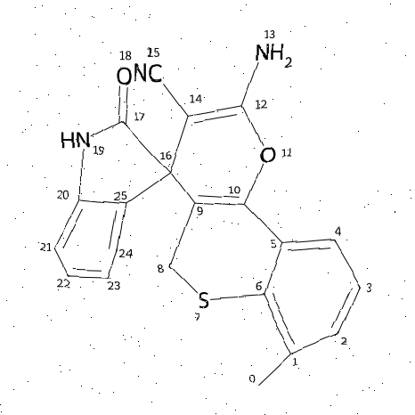 Cc1cccc2c1SCC1=C2OC(N)=C(C#N)C12C(=O)Nc1ccccc12